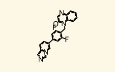 O=c1cnc2ccccc2n1Cc1c(F)cc(-c2ccc3cncn3c2)cc1F